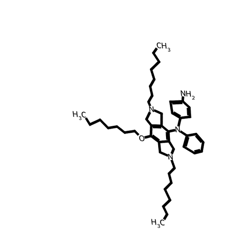 CCCCCCCCN1Cc2c(c(N(c3ccccc3)c3ccc(N)cc3)c3c(c2OCCCCCCC)CN(CCCCCCCC)C3)C1